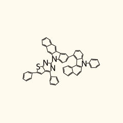 c1ccc(-c2cc3c(-c4ccccc4)nc(-n4c5ccc(-c6cccc7c6c6c8ccccc8ccc6n7-c6ccccc6)cc5c5cc6ccccc6cc54)nc3s2)cc1